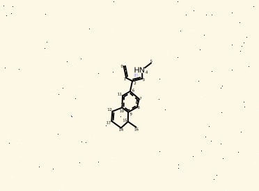 C=C/C(=C\NC)c1ccc2c(c1)C=CCC2C